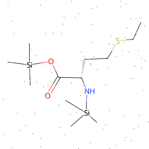 CCSCC[C@H](N[Si](C)(C)C)C(=O)O[Si](C)(C)C